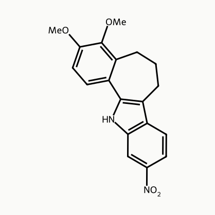 COc1ccc2c(c1OC)CCCc1c-2[nH]c2cc([N+](=O)[O-])ccc12